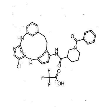 O=C(Nc1ccc2cc1CCc1cccc(c1)Nc1ncc(Cl)c(n1)N2)C1CCCN(C(=O)c2ccccc2)C1.O=C(O)C(F)(F)F